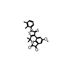 COc1cc2c3c(c1)-c1c(sn(-c4cccc(C)c4C)c1=S)C(C)(C)N3C(=O)C2=O